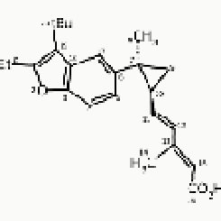 CCc1oc2ccc([C@@]3(C)C[C@H]3/C=C/C(C)=C/C(=O)O)cc2c1C(C)(C)C